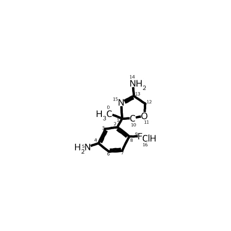 CC1(c2cc(N)ccc2F)COCC(N)=N1.Cl